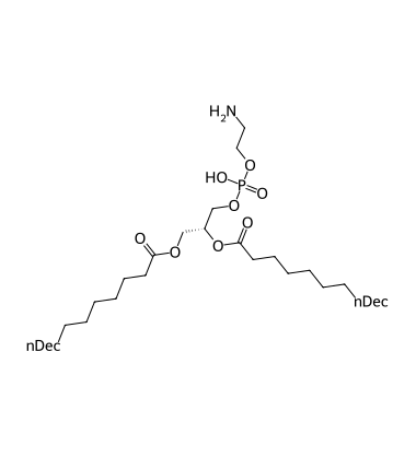 CCCCCCCCCCCCCCCCC(=O)OC[C@H](COP(=O)(O)OCCN)OC(=O)CCCCCCCCCCCCCCCC